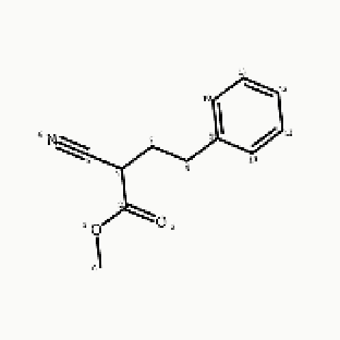 COC(=O)C(C#N)CCc1ccccc1